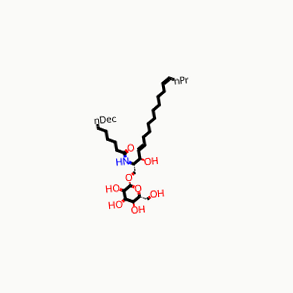 CCC/C=C\CCCCCCCC/C=C/[C@@H](O)[C@H](CO[C@@H]1O[C@H](CO)[C@@H](O)C(O)C1O)NC(=O)CCCCCCCCCCCCCCC